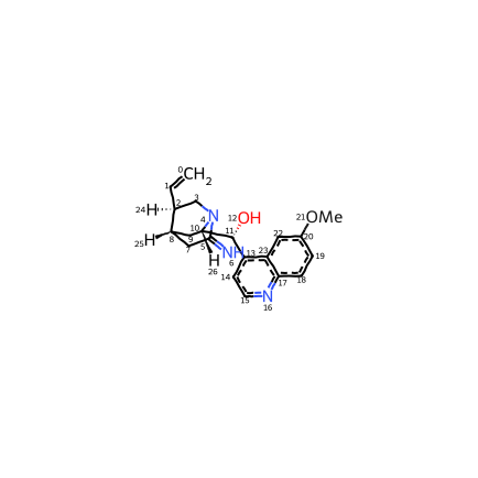 C=C[C@H]1CN2C(=N)C[C@H]1C[C@H]2[C@H](O)c1ccnc2ccc(OC)cc12